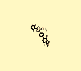 C[C@H]1OC(c2c(F)cccc2F)=N[C@H]1c1ccc(-c2ccc(C(F)(F)F)cc2F)cc1